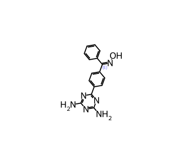 Nc1nc(N)nc(-c2ccc(/C(=N/O)c3ccccc3)cc2)n1